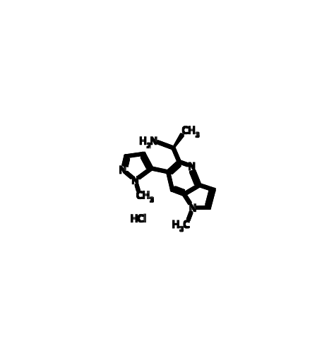 C[C@H](N)c1nc2ccn(C)c2cc1-c1ccnn1C.Cl